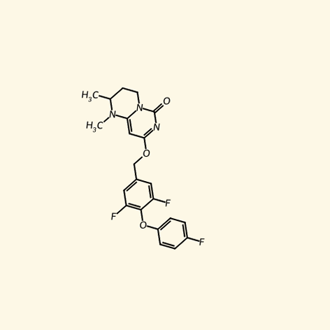 CC1CCn2c(cc(OCc3cc(F)c(Oc4ccc(F)cc4)c(F)c3)nc2=O)N1C